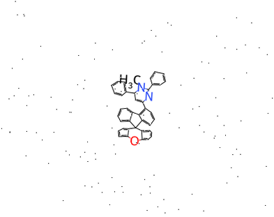 CN1C(c2ccccc2)=NC(c2cccc3c2-c2ccccc2C32c3ccccc3Oc3ccccc32)=CC1c1ccccc1